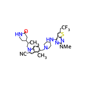 CNc1nc(NC2CCN(Cc3ccc4c(cc(C#N)n4C[C@H](C)C4CCNC(=O)C4)c3C)CC2)c2cc(CC(F)(F)F)sc2n1